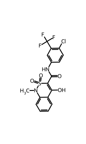 CN1c2ccccc2C(O)=C(C(=O)Nc2ccc(Cl)c(C(F)(F)F)c2)S1(=O)=O